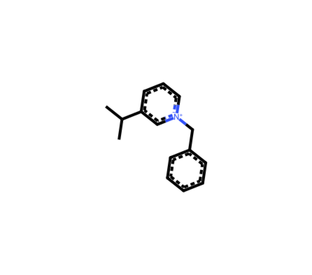 CC(C)c1ccc[n+](Cc2ccccc2)c1